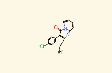 CC(C)CCc1nc2ccccn2c(=O)c1-c1ccc(Cl)cc1